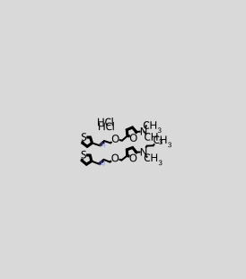 CCCN(C)c1ccc(COC/C=C/c2ccsc2)o1.CN(C)c1ccc(COC/C=C/c2ccsc2)o1.Cl.Cl